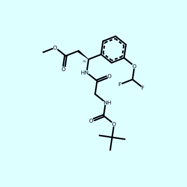 COC(=O)C[C@H](NC(=O)CNC(=O)OC(C)(C)C)c1cccc(OC(F)F)c1